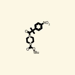 CC(C)(C)OC(=O)N1CCN(C(=O)C(C)(C)c2ccc([N+](=O)[O-])cc2)CC1